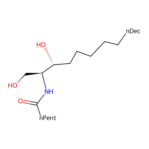 CCCCCCCCCCCCCCC[C@@H](O)[C@H](CO)NC(=O)CCCCC